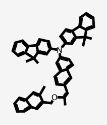 CC(=Cc1ccc2cc(N(c3ccc4c(c3)C(C)(C)c3ccccc3-4)c3ccc4c(c3)C(C)(C)c3ccccc3-4)ccc2c1)OCc1cc2ccccc2cc1C